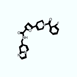 O=C(NCc1ccn2ccnc2c1)c1ccc(C2=CCN(C(=O)c3ccccc3F)CC2)o1